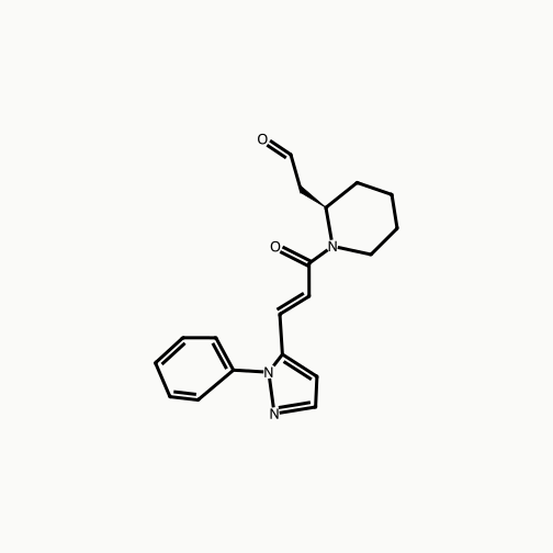 O=CC[C@H]1CCCCN1C(=O)C=Cc1ccnn1-c1ccccc1